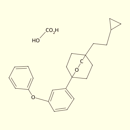 O=C(O)O.c1ccc(Oc2cccc(C34CCC(CCC5CC5)(CC3)CO4)c2)cc1